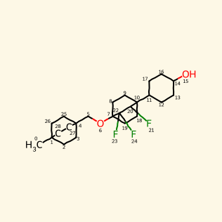 CC12CCC(COC34CCC(C5CCC(O)CC5)(CC3)C(F)C4(F)F)(CC1)CC2